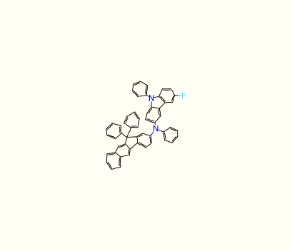 Fc1ccc2c(c1)c1cc(N(c3ccccc3)c3ccc4c(c3)C(c3ccccc3)(c3ccccc3)c3cc5ccccc5cc3-4)ccc1n2-c1ccccc1